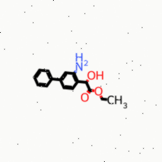 CCOC(=O)C(O)c1ccc(-c2ccccc2)cc1N